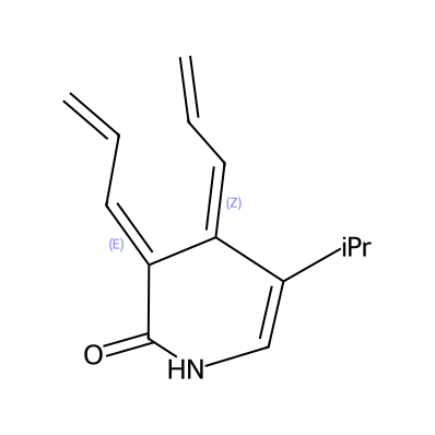 C=C/C=c1/c(C(C)C)c[nH]c(=O)/c1=C/C=C